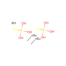 CCCCC.CCCCC.OP(O)(O)=S.OP(O)(O)=S.[KH]